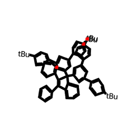 CC(C)(C)c1ccc(-c2cc(-c3ccc(C(C)(C)C)cc3)cc(C3(c4cc(-c5ccc(C(C)(C)C)cc5)cc(-c5ccc(C(C)(C)C)cc5)c4)C(c4ccccc4)=C(c4ccccc4)c4ccccc43)c2)cc1